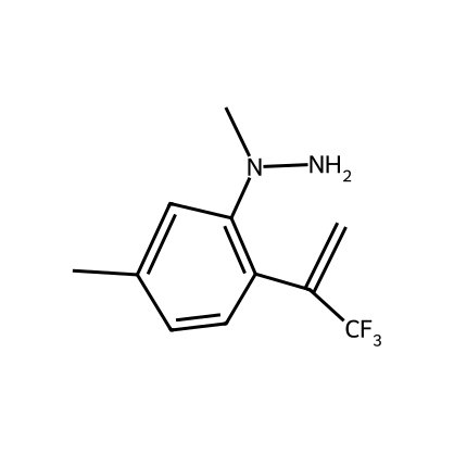 C=C(c1ccc(C)cc1N(C)N)C(F)(F)F